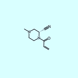 C=CC(=O)N1CCN(C)C[C@@H]1C#N